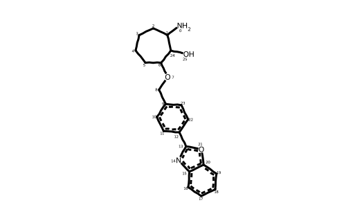 NC1CCCCC(OCc2ccc(-c3nc4ccccc4o3)cc2)C1O